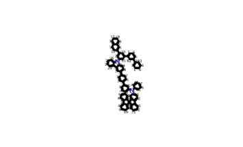 c1ccc(-c2cccc(-c3cc(-c4ccc5ccccc5c4)cc(-n4c5ccccc5c5cc(-c6ccc(-c7cccc(N(c8ccccc8)c8ccc9c(c8)C8(c%10ccccc%10-c%10ccccc%108)c8ccccc8-9)c7)cc6)ccc54)c3)c2)cc1